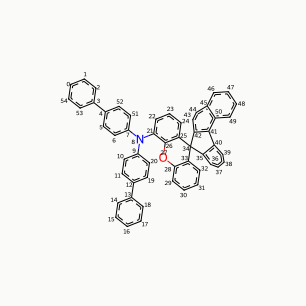 c1ccc(-c2ccc(N(c3ccc(-c4ccccc4)cc3)c3cccc4c3Oc3ccccc3C43c4ccccc4-c4c3ccc3ccccc43)cc2)cc1